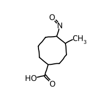 CC1CCC(C(=O)O)CCCC1N=O